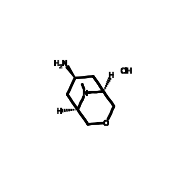 CN1[C@@H]2COC[C@H]1C[C@@H](N)C2.Cl